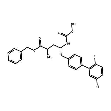 CC(C)(C)OC(=O)N[C@H](Cc1ccc(-c2cc(Cl)ccc2F)cc1)C[C@@H](N)C(=O)OCc1ccccc1